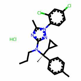 CCCN(c1nc(C)n(-c2ccc(Cl)cc2Cl)n1)[C@](C)(c1ccc(C)cc1)C1CC1.Cl